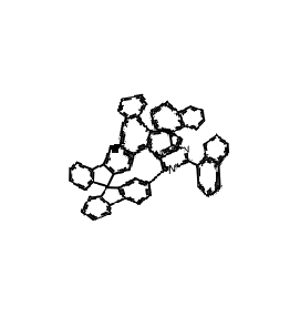 c1ccc2c(c1)-c1ccc(-c3nc(-c4cccc5ccccc45)nc(-c4cccc5ccccc45)n3)cc1C21c2ccccc2-c2cc3c4ccccc4c4ccccc4c3cc21